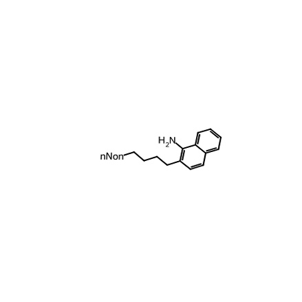 CCCCCCCCCCCCCc1ccc2ccccc2c1N